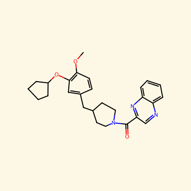 COc1ccc(CC2CCN(C(=O)c3cnc4ccccc4n3)CC2)cc1OC1CCCC1